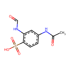 CC(=O)Nc1ccc(S(=O)(=O)O)c(NC=O)c1